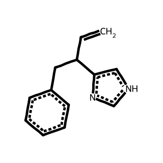 C=CC(Cc1ccccc1)c1c[nH]cn1